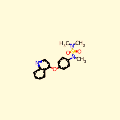 CN(C)S(=O)(=O)N(C)c1ccc(Oc2ccnc3ccccc23)cc1